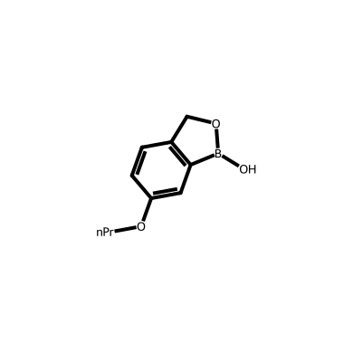 CCCOc1ccc2c(c1)B(O)OC2